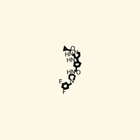 O=C(NC1CCN(Cc2cc(F)cc(F)c2)CC1)c1ccc2c(c1)[nH]c1c(NC(=O)C3CC3)nccc12